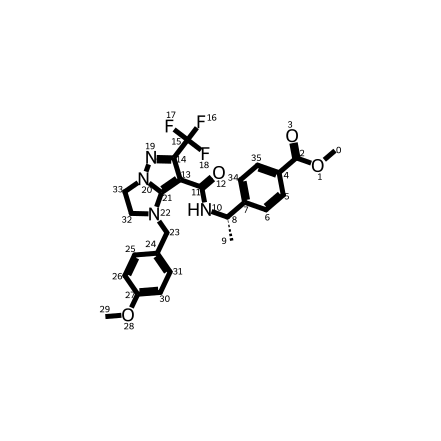 COC(=O)c1ccc([C@H](C)NC(=O)c2c(C(F)(F)F)nn3c2N(Cc2ccc(OC)cc2)CC3)cc1